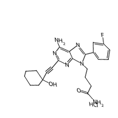 Cl.NC(=O)CCCn1c(-c2cccc(F)c2)nc2c(N)nc(C#CC3(O)CCCCC3)nc21